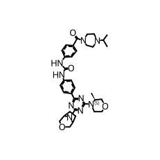 CC(C)N1CCN(C(=O)c2ccc(NC(=O)Nc3ccc(-c4nc(N5C6CCC5COC6)nc(N5CCOC[C@@H]5C)n4)cc3)cc2)CC1